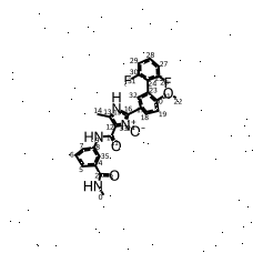 CNC(=O)c1cccc(NC(=O)c2c(C)[nH]c(-c3ccc(OC)c(-c4c(F)cccc4F)c3)[n+]2[O-])c1